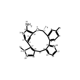 Cc1ccc2c(c1)[C@@H](C)Oc1cc(cnc1N)-c1c(cnn1C)Cc1cccnc1-2